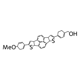 COC1C=CC(C2=CC3c4ccc5c6c(ccc(c46)C3S2)C2SC(C3=CC=C(CO)CC3)=CC52)=CC1